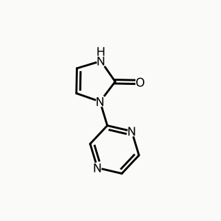 O=c1[nH]ccn1-c1cnccn1